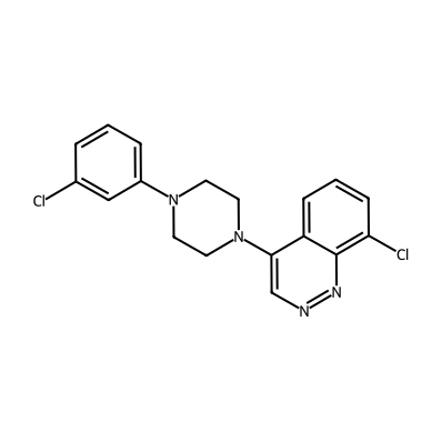 Clc1cccc(N2CCN(c3cnnc4c(Cl)cccc34)CC2)c1